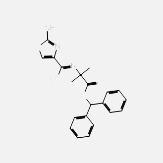 CC(C)(/N=C(\C(=O)O)c1csc(N)n1)C(=O)OC(c1ccccc1)c1ccccc1